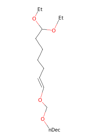 CCCCCCCCCCOCOC=CCCCCC(OCC)OCC